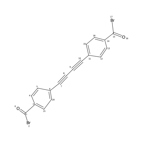 O=C(Br)c1ccc(C#CC#Cc2ccc(C(=O)Br)cc2)cc1